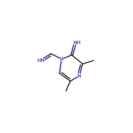 Cc1cn(C=N)c(=N)c(C)n1